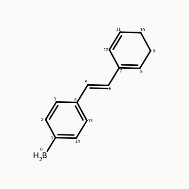 Bc1ccc(/C=C/C2=CCCC=C2)cc1